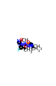 COc1cc(-c2cc(F)cc(C(C)C)c2NC(=O)NS(=N)(=O)c2ccn(C(C)C)n2)ccn1